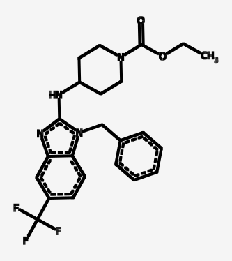 CCOC(=O)N1CCC(Nc2nc3cc(C(F)(F)F)ccc3n2Cc2ccccc2)CC1